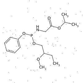 CCC(CO[P@@](NCC(=O)OC(C)C)Oc1ccccc1)OC